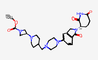 CC(C)(C)OC(=O)N1CC(N2CCC(CN3CCN(c4ccc5c(c4)CN([C@H]4CCC(=O)NC4=O)C5=O)CC3)CC2)C1